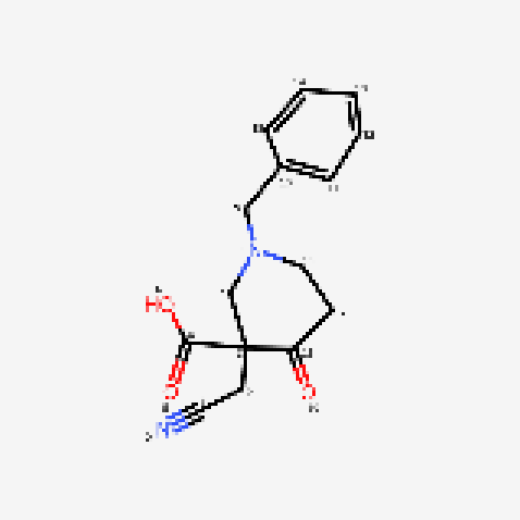 N#CCC1(C(=O)O)CN(Cc2ccccc2)CCC1=O